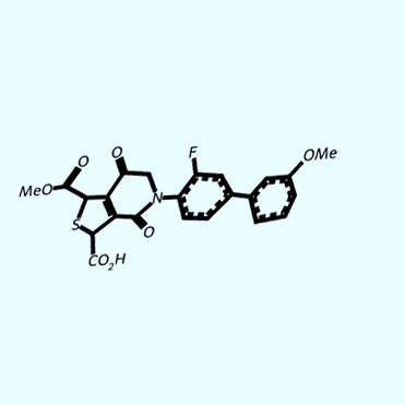 COC(=O)C1SC(C(=O)O)C2=C1C(=O)CN(c1ccc(-c3cccc(OC)c3)cc1F)C2=O